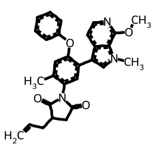 C=CCC1CC(=O)N(c2cc(-c3cn(C)c4c(OC)nccc34)c(Oc3ccccc3)cc2C)C1=O